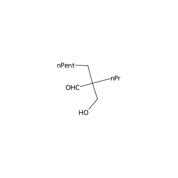 CCCCCCC(C=O)(CO)CCC